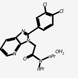 CCCN(CCC)C(=O)Cn1c(-c2ccc(Cl)c(Cl)c2)nc2cccnc21.O